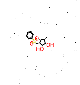 C[C@@H]1C[C@H](CS(=O)(=O)c2ccccc2)[C@@H](O)[C@H]1O